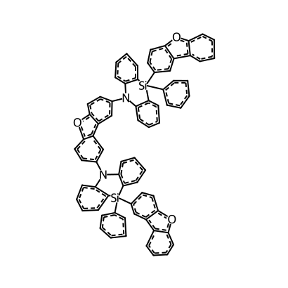 c1ccc([Si]2(c3ccc4oc5ccccc5c4c3)c3ccccc3N(c3ccc4oc5ccc(N6c7ccccc7[Si](c7ccccc7)(c7ccc8oc9ccccc9c8c7)c7ccccc76)cc5c4c3)c3ccccc32)cc1